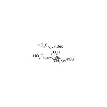 C/C(=C/C(=O)O)C(=O)O.CCCCCCCCCCCC(=O)O.CCC[CH2][Sn][CH2]CCC